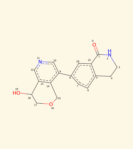 O=C1NCCc2ccc(-c3cncc4c3COCC4O)cc21